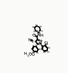 COc1ccc([C@H]2[C@H](C#N)C(C(=O)NN3CCCCC3)=NN2c2ccccc2Cl)cc1